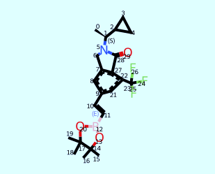 C[C@@H](C1CC1)N1Cc2cc(/C=C/B3OC(C)(C)C(C)(C)O3)cc(C(F)(F)F)c2C1=O